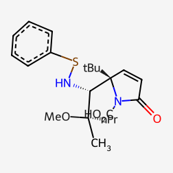 CCC[C@](C)(OC)[C@H](NSc1ccccc1)[C@]1(C(C)(C)C)C=CC(=O)N1C(=O)O